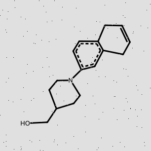 OCC1CCN(c2ccc3c(c2)CC=[C]C3)CC1